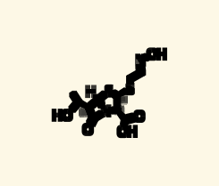 CC(O)[C@@H]1C(=O)N2[C@@H]1S[C@@H](SCC=NO)[C@H]2C(=O)O